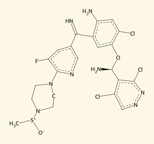 C[S+]([O-])N1CCN(c2ncc(C(=N)c3cc(O[C@H](N)c4c(Cl)cnnc4Cl)c(Cl)cc3N)cc2F)CC1